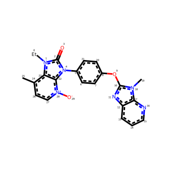 CCn1c(=O)n(-c2ccc(Oc3nc4cccnc4n3C)cc2)c2c1c(C)cc[n+]2[O-]